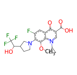 COc1c(N2CCC(C(O)C(F)(F)F)C2)c(F)cc2c(=O)c(C(=O)O)cn(C3CC3)c12